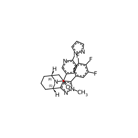 Cn1nc2c(c1-c1cc(F)c(F)c(F)c1)C[C@H]1CCC[C@@H]2N1C(=O)c1ccc(-n2cccn2)nc1